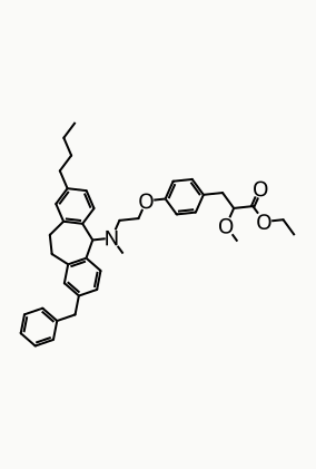 CCCCc1ccc2c(c1)CCc1cc(Cc3ccccc3)ccc1C2N(C)CCOc1ccc(CC(OC)C(=O)OCC)cc1